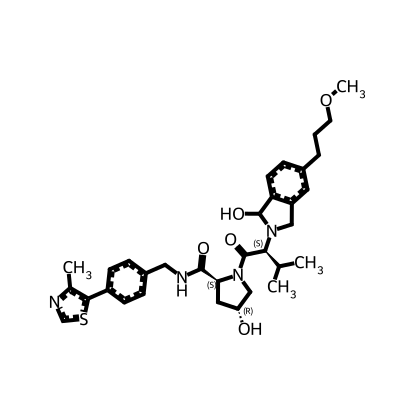 COCCCc1ccc2c(c1)CN([C@H](C(=O)N1C[C@H](O)C[C@H]1C(=O)NCc1ccc(-c3scnc3C)cc1)C(C)C)C2O